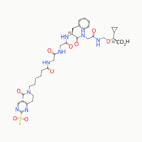 CS(=O)(=O)c1ncc2c(n1)CCN(CCCCCC(=O)NCC(=O)NCC(=O)N[C@@H](Cc1ccccc1)C(=O)NCC(=O)NCO[C@H](C(=O)O)C1CC1)C2=O